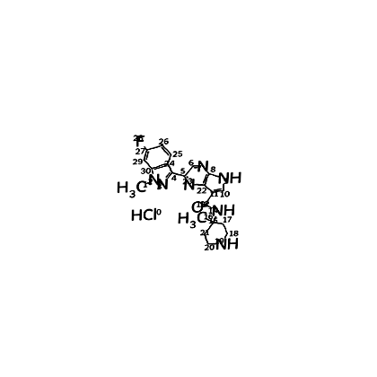 Cl.Cn1nc(-c2cnc3[nH]cc(C(=O)NC4(C)CCNCC4)c3n2)c2ccc(F)cc21